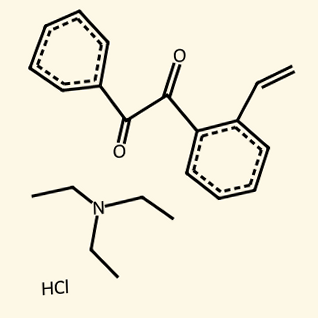 C=Cc1ccccc1C(=O)C(=O)c1ccccc1.CCN(CC)CC.Cl